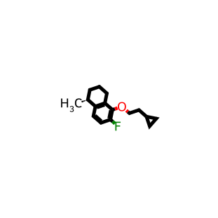 C[C@@H]1CCCc2c1ccc(F)c2OCCC1CC1